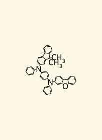 CC1(C)c2ccccc2-c2ccc(N(c3ccccc3)c3ccc(N(c4ccccc4)c4ccc5c(c4)oc4ccccc45)cc3)cc21